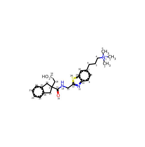 C[N+](C)(C)CCCc1ccc2nc(CNC(=O)C3(CC(=O)O)Cc4ccccc4C3)sc2c1